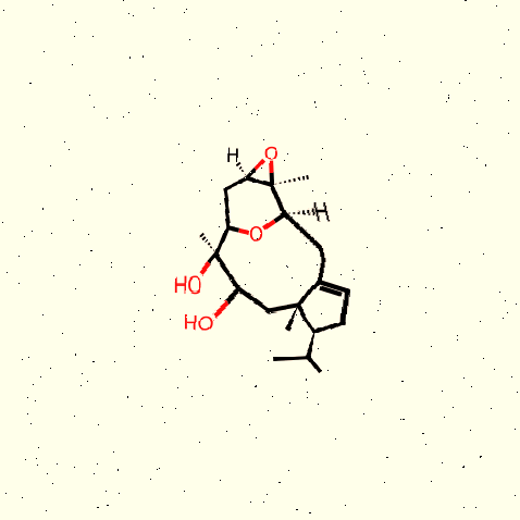 CC(C)[C@@H]1CC=C2C[C@H]3OC(C[C@H]4O[C@@]34C)[C@](C)(O)C(O)C[C@]21C